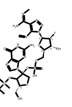 C=Nc1c(/C(N)=N\C)nnn1[C@@H]1O[C@H](COP(O)(=S)O[C@@]2(n3cnc4c(=O)[nH]c(N)nc43)CO[C@H](CO)C2O[Si](C)(C)C(C)(C)C)[C@@H](O)[C@@H]1F